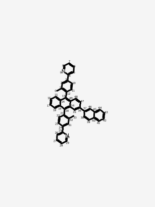 Cc1cc(-c2ccccn2)ccc1-c1c2ccccc2c(-c2ccc(-c3ccccn3)cc2C)c2cc(-c3ccc4ccccc4c3)ccc12